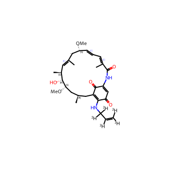 [2H]C([2H])=C([2H])C([2H])([2H])NC1=C2C[C@@H](C)C[C@H](OC)[C@H](O)[C@@H](C)/C=C(\C)[CH][C@H](OC)/C=C/C=C(\C)C(=O)NC(=CC1=O)C2=O